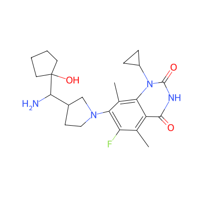 Cc1c(F)c(N2CCC(C(N)C3(O)CCCC3)C2)c(C)c2c1c(=O)[nH]c(=O)n2C1CC1